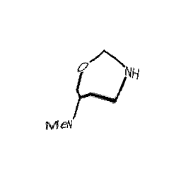 CNC1CNCO1